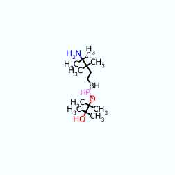 CC(C)(N)C(C)(C)CCBPOC(C)(C)C(C)(C)O